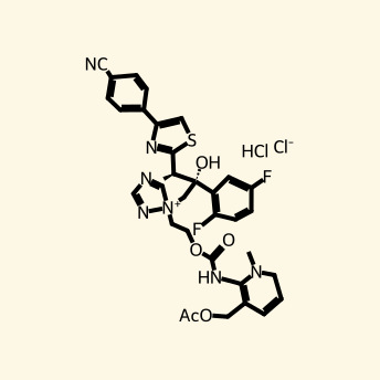 CC(=O)OCC1=C(NC(=O)OCC[N+]2(C[C@](O)(c3cc(F)ccc3F)[C@@H](C)c3nc(-c4ccc(C#N)cc4)cs3)C=NC=N2)N(C)CC=C1.Cl.[Cl-]